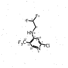 FC(F)CNc1nc(Cl)ncc1C(F)(F)F